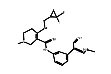 CN/C=C(\C=N)c1cccc(NC(=N)C2=C(NCC3CC3(F)F)CCN(C)C2)c1